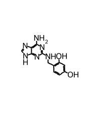 Nc1nc(NCc2ccc(O)cc2O)nc2[nH]cnc12